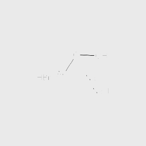 Br.CC(=O)OO.[NaH].[NaH]